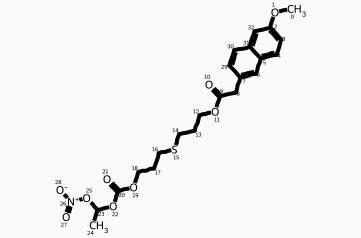 COc1ccc2cc(CC(=O)OCCCSCCCOC(=O)OC(C)O[N+](=O)[O-])ccc2c1